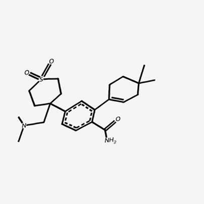 CN(C)CC1(c2ccc(C(N)=O)c(C3=CCC(C)(C)CC3)c2)CCS(=O)(=O)CC1